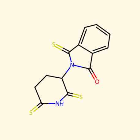 O=C1c2ccccc2C(=S)N1C1CCC(=S)NC1=S